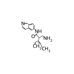 C=C/C=C(\C=C)C(CN)C(=O)Nc1ccc2cnccc2c1